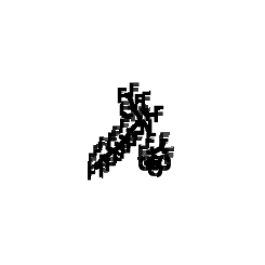 CC[N+]1(C(F)(F)C(F)F)C(C(F)(F)C(F)(F)C(F)(F)C(F)(F)C(F)(F)C(F)(F)F)=NC(F)=C1F.O=S(=O)([O-])C(F)(F)C(F)F